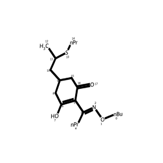 CCCCON=C(CCC)C1=C(O)CC(CC(C)SCCC)CC1=O